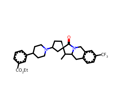 CCOC(=O)c1cccc(C2CCN(C3CC[C@@]4(C3)C(=O)N3Cc5cc(C(F)(F)F)ccc5CC3C4C)CC2)c1